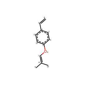 C=Cc1ccc(OC=C(C)C)cc1